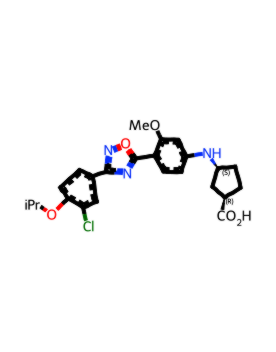 COc1cc(N[C@H]2CC[C@@H](C(=O)O)C2)ccc1-c1nc(-c2ccc(OC(C)C)c(Cl)c2)no1